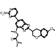 COc1ccc2c(c1)CC(c1nc3c(N(C)CC(=O)N(C)C)cc(-c4ccnc(N)n4)cc3s1)CO2